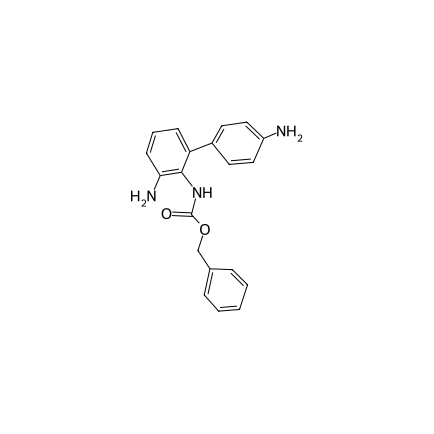 Nc1ccc(-c2cccc(N)c2NC(=O)OCc2ccccc2)cc1